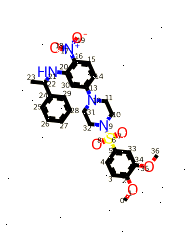 COc1ccc(S(=O)(=O)N2CCN(c3ccc([N+](=O)[O-])c(NC(C)c4ccccc4)c3)CC2)cc1OC